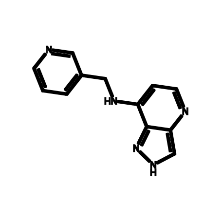 c1cncc(CNc2ccnc3c[nH]nc23)c1